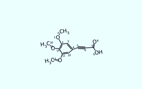 COc1cc(C#CC(=O)O)cc(OC)c1OC